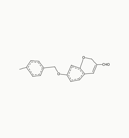 Cc1ccc(COc2ccc3c(c2)OCC(C=O)=C3)cc1